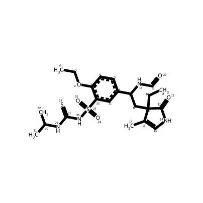 CCOc1ccc(C(CC2(CC)C(=O)NC=C2C)NC=O)cc1S(=O)(=O)NC(=S)NC(C)C